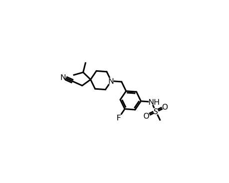 CC(C)C1(CC#N)CCN(Cc2cc(F)cc(NS(C)(=O)=O)c2)CC1